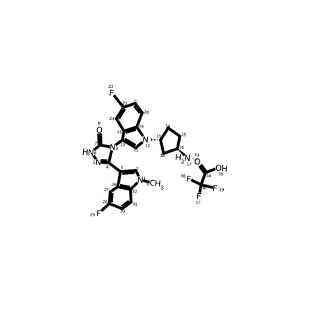 Cn1cc(-c2n[nH]c(=O)n2-c2cn([C@@H]3CC[C@@H](N)C3)c3ccc(F)cc23)c2cc(F)ccc21.O=C(O)C(F)(F)F